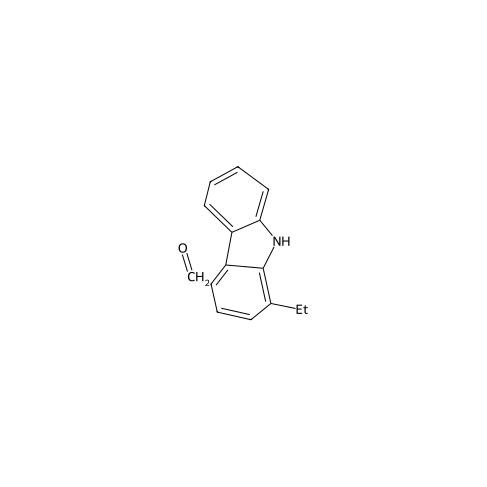 C=O.CCc1cccc2c1[nH]c1ccccc12